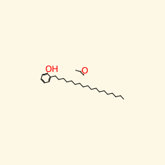 CC1CO1.CCCCCCCCCCCCCCCCCCc1ccccc1O